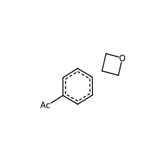 C1COC1.CC(=O)c1ccccc1